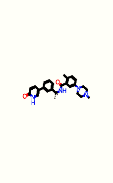 Cc1ccc(N2CCN(C)CC2)cc1C(=O)N[C@H](C)c1cccc(-c2ccc(=O)[nH]c2)c1